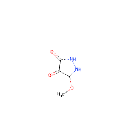 COC1NNC(=O)C1=O